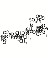 Cc1c(-c2ccc(N3CCc4cccc(C(=O)Nc5nc6ccccc6s5)c4C3)nc2C(=O)O)cnn1CC12CC3(C)CC(C)(C1)CC(OCCN(C)C(=O)OCc1ccc(NC(=O)[C@H](C)NC(=O)C(NC(=O)CCCCCN4C(=O)C=CC4=O)C(C)C)cc1CCCOCCCS(=O)(=O)O)(C3)C2